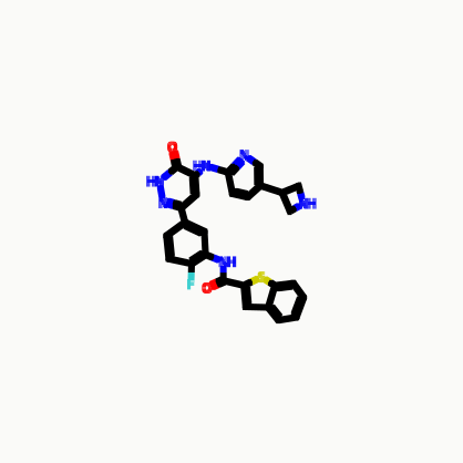 O=C(Nc1cc(-c2cc(Nc3ccc(C4CNC4)cn3)c(=O)[nH]n2)ccc1F)c1cc2ccccc2s1